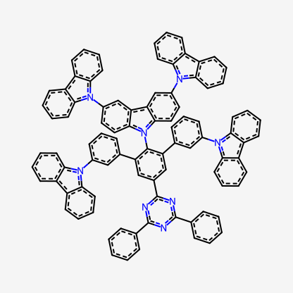 c1ccc(-c2nc(-c3ccccc3)nc(-c3cc(-c4cccc(-n5c6ccccc6c6ccccc65)c4)c(-n4c5ccc(-n6c7ccccc7c7ccccc76)cc5c5cc(-n6c7ccccc7c7ccccc76)ccc54)c(-c4cccc(-n5c6ccccc6c6ccccc65)c4)c3)n2)cc1